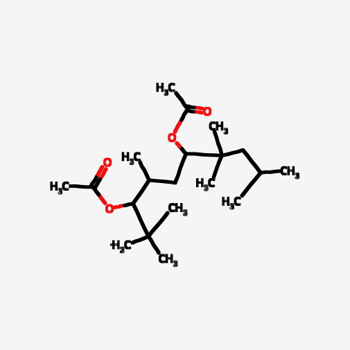 [CH2]C(C)(C)C(OC(C)=O)C(C)CC(OC(C)=O)C(C)(C)CC(C)C